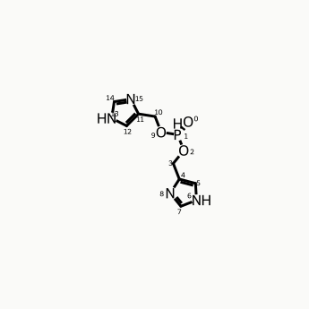 O=[PH](OCc1c[nH]cn1)OCc1c[nH]cn1